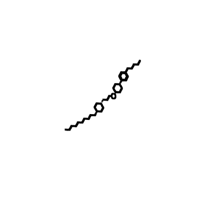 CCCCCCCCCC[C@H]1CC[C@H](CCCO[C@H]2CC[C@H](c3ccc(CCCCC)cc3)CC2)CC1